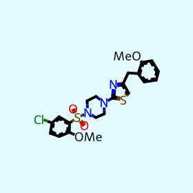 COc1ccccc1Cc1csc(N2CCN(S(=O)(=O)c3cc(Cl)ccc3OC)CC2)n1